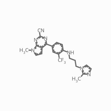 Cc1nccn1CCCNc1ccc(-c2nc(C#N)nc3c2ccn3C)cc1C(F)(F)F